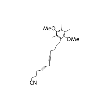 COc1c(C)c(C)c(OC)c(CCCCC#CCC#CCCCC#N)c1C